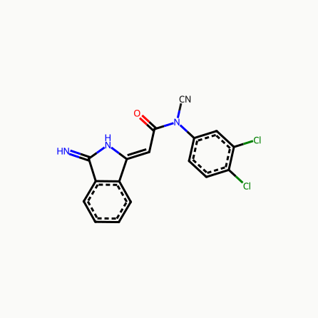 N#CN(C(=O)C=C1NC(=N)c2ccccc21)c1ccc(Cl)c(Cl)c1